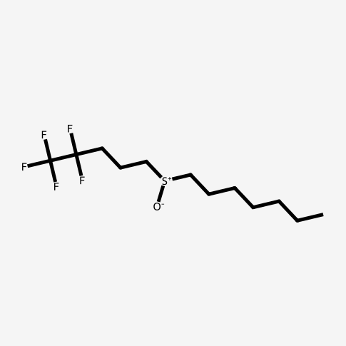 CCCCCCC[S+]([O-])CCCC(F)(F)C(F)(F)F